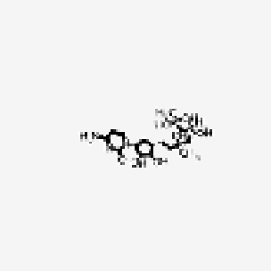 C=P(O)(O)CP(=C)(O)CP(=C)(C)CC[C@H]1C[C@@H](n2ccc(N)nc2=O)[C@@H](O)C1O